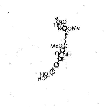 COc1cc2c(cc1OCCCCCOc1cc3c(cc1OC)C(=O)N1C=C(c4ccc(N5CCN(C[C@@H](O)CO)CC5)cc4)C[C@H]1CN3)N=C[C@@H]1CC3(CC3)CN1C2=O